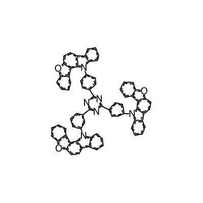 c1cc(-c2nc(-c3ccc(-n4c5ccccc5c5ccc6oc7ccccc7c6c54)cc3)nc(-c3ccc(-n4c5ccccc5c5ccc6oc7ccccc7c6c54)cc3)n2)cc(-n2c3ccccc3c3ccc4oc5ccccc5c4c32)c1